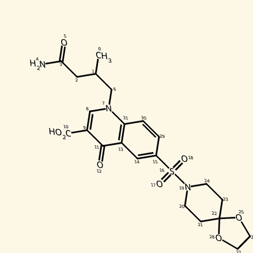 CC(CC(N)=O)Cn1cc(C(=O)O)c(=O)c2cc(S(=O)(=O)N3CCC4(CC3)OCCO4)ccc21